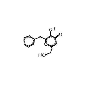 O=c1cc(CO)oc(Cc2ccccc2)c1O